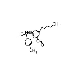 C=C(C)[C@@H]1CCC(C)=C[C@H]1C1C(OC=O)=CC(CCCCC)=CC1O